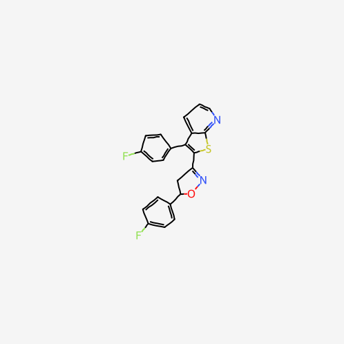 Fc1ccc(-c2c(C3=NOC(c4ccc(F)cc4)C3)sc3ncccc23)cc1